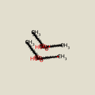 CCCCCCCCC=CCCCCCCCC(=O)OCC(CO)OC(=O)CCCCCCCC=CCCCCCCCC.CCCCCCCCCCCCCCCC(=O)OCC(CO)OC(=O)CCCCCCCCCCCCCCC